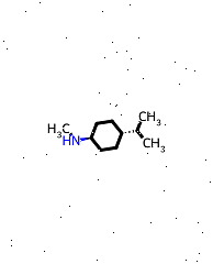 CN[C@H]1CC[C@H](C(C)C)CC1